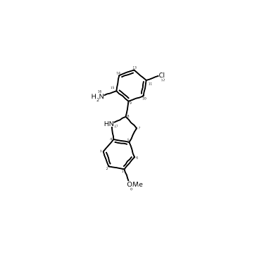 COc1ccc2c(c1)CC(c1cc(Cl)ccc1N)N2